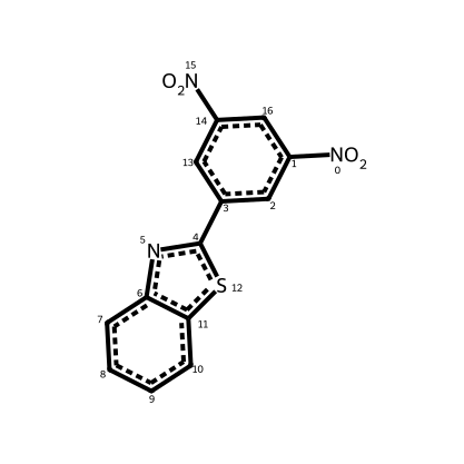 O=[N+]([O-])c1cc(-c2nc3ccccc3s2)cc([N+](=O)[O-])c1